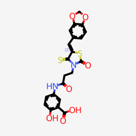 O=C(CCN1C(=O)S/C(=C\c2ccc3c(c2)OCO3)C1=S)Nc1ccc(O)c(C(=O)O)c1